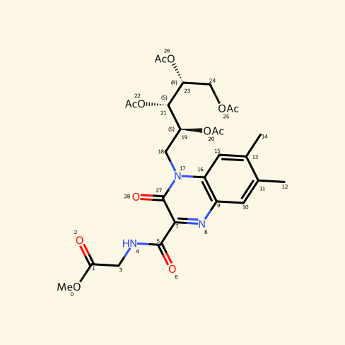 COC(=O)CNC(=O)c1nc2cc(C)c(C)cc2n(C[C@H](OC(C)=O)[C@H](OC(C)=O)[C@@H](COC(C)=O)OC(C)=O)c1=O